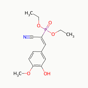 CCOP(=O)(OCC)C(C#N)=Cc1ccc(OC)c(O)c1